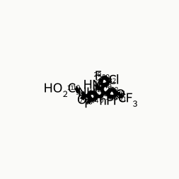 CCCC(c1ccc(C(=O)NCCC(=O)O)c(F)c1)C(c1ccc(OC(F)(F)F)cc1)c1c[nH]c2c(F)cc(Cl)cc12